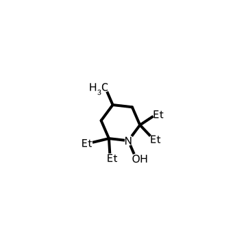 CCC1(CC)CC(C)CC(CC)(CC)N1O